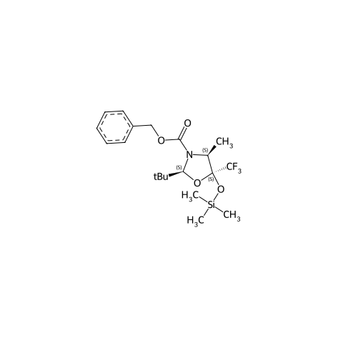 C[C@@H]1N(C(=O)OCc2ccccc2)[C@H](C(C)(C)C)O[C@@]1(O[Si](C)(C)C)C(F)(F)F